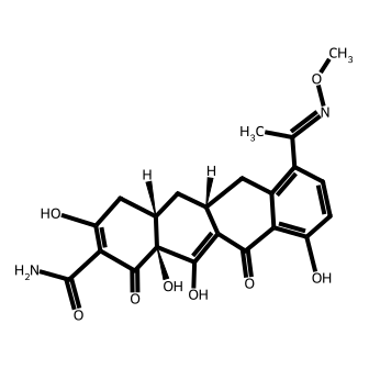 CO/N=C(\C)c1ccc(O)c2c1C[C@H]1C[C@H]3CC(O)=C(C(N)=O)C(=O)[C@@]3(O)C(O)=C1C2=O